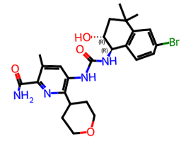 Cc1cc(NC(=O)N[C@@H]2c3ccc(Br)cc3C(C)(C)C[C@H]2O)c(C2CCOCC2)nc1C(N)=O